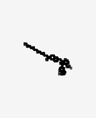 CCOCCOCCOCCOCCC(=O)N1CCc2cc(Cn3nc(-c4cnc5[nH]ccc5c4)c4c(N)ncnc43)ccc2C1